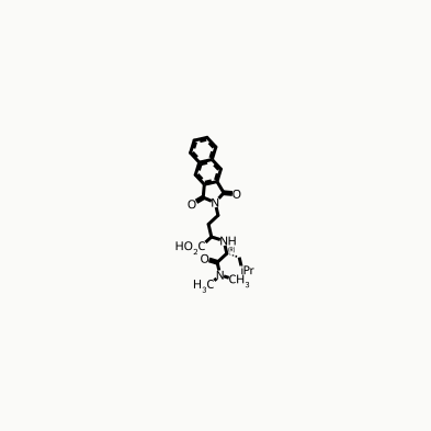 CC(C)C[C@@H](NC(CCN1C(=O)c2cc3ccccc3cc2C1=O)C(=O)O)C(=O)N(C)C